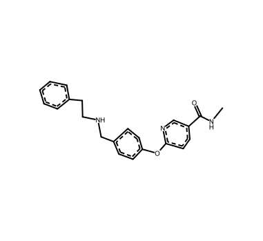 CNC(=O)c1ccc(Oc2ccc(CNCCc3ccccc3)cc2)nc1